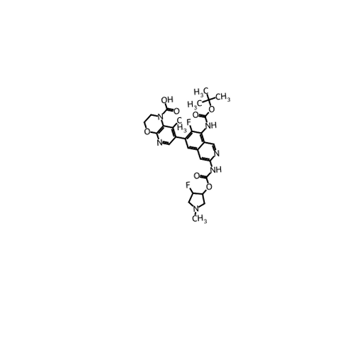 Cc1c(-c2cc3cc(NC(=O)OC4CN(C)CC4F)ncc3c(NC(=O)OC(C)(C)C)c2F)cnc2c1N(C(=O)O)CCO2